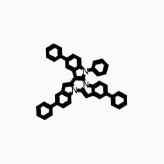 c1ccc(-c2ccc3c(c2)cc2c4c5cc(-c6ccccc6)ccc5n(-c5ccccc5)c4n4c5ccc(-c6ccccc6)cc5cc4n32)cc1